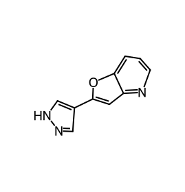 c1cnc2cc(-c3cn[nH]c3)oc2c1